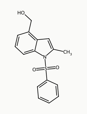 Cc1cc2c(CO)cccc2n1S(=O)(=O)c1ccccc1